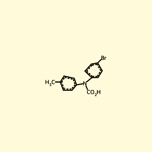 Cc1ccc(N(C(=O)O)c2ccc(Br)cc2)cc1